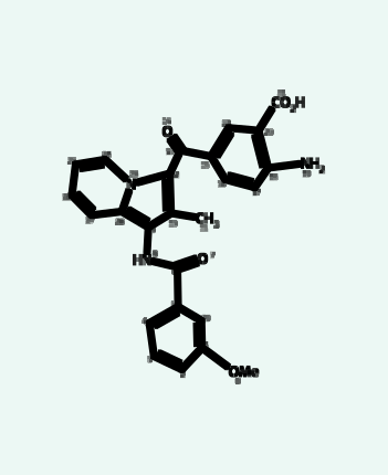 COc1cccc(C(=O)Nc2c(C)c(C(=O)c3ccc(N)c(C(=O)O)c3)n3ccccc23)c1